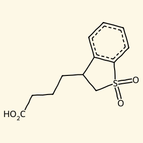 O=C(O)CCCC1CS(=O)(=O)c2ccccc21